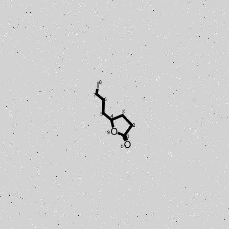 O=C1CCC(CCCI)O1